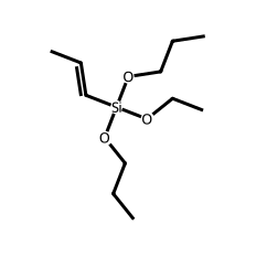 CC=C[Si](OCC)(OCCC)OCCC